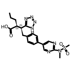 CCC[C@H](C(=O)O)[C@H](Cc1ccc(-c2cnc(N(C)S(C)(=O)=O)nc2)cc1)c1nnn[nH]1